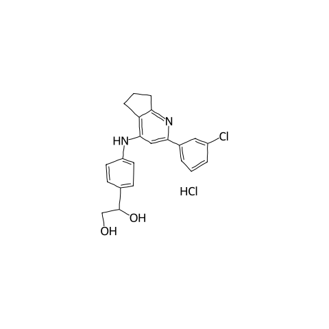 Cl.OCC(O)c1ccc(Nc2cc(-c3cccc(Cl)c3)nc3c2CCC3)cc1